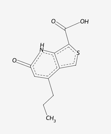 CCCc1cc(=O)[nH]c2c(C(=O)O)scc12